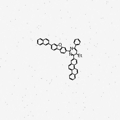 CCC1C=C(c2ccccc2)N=C(c2ccc3c(c2)oc2cc(-c4ccc5ccccc5c4)ccc23)N=C1c1ccc2c(ccc3c4ccccc4ccc23)c1